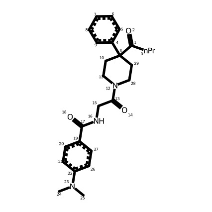 CCCC(=O)C1(c2ccccc2)CCN(C(=O)CNC(=O)c2ccc(N(C)C)cc2)CC1